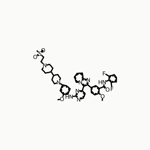 COc1cc(N2CCC(C3CCN(CCS(C)(=O)=O)CC3)CC2)ccc1Nc1nccc(-c2c(-c3ccc(OC)c(C(=O)Nc4c(F)cccc4F)c3)nc3ccccn23)n1